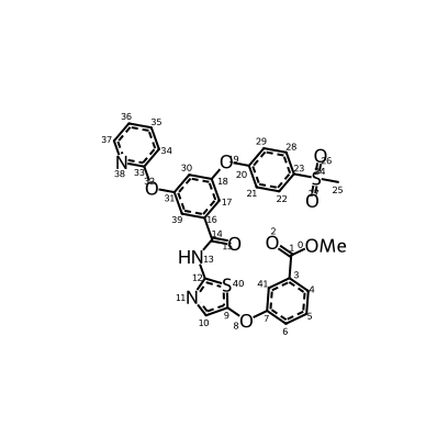 COC(=O)c1cccc(Oc2cnc(NC(=O)c3cc(Oc4ccc(S(C)(=O)=O)cc4)cc(Oc4ccccn4)c3)s2)c1